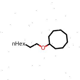 CCCCCCCCOC1CCCCCCC1